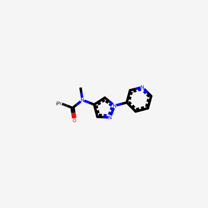 CC(C)C(=O)N(C)c1cnn(-c2cccnc2)c1